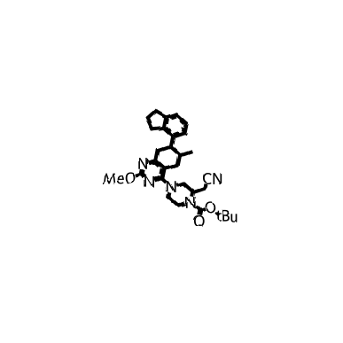 COc1nc2c(c(N3CCN(C(=O)OC(C)(C)C)C(CC#N)C3)n1)CC(C)C(c1cccc3c1CCC3)C2